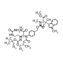 COC(=O)[C@@H](N(C)C(=O)OCc1ccc(N(C(=O)[C@@H](NC(=O)OC(C)(C)C)C(C)C)[C@@H](CCCNC(N)=O)C(N)=O)cc1)C(C)(C)c1cn(C)c2ccccc12